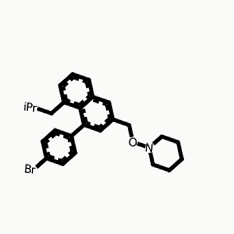 CC(C)Cc1cccc2cc(CON3CCCCC3)cc(-c3ccc(Br)cc3)c12